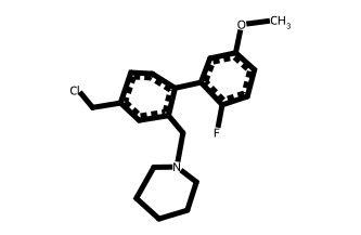 COc1ccc(F)c(-c2ccc(CCl)cc2CN2CCCCC2)c1